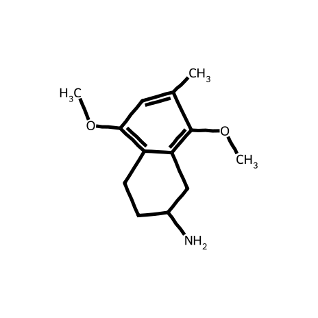 COc1cc(C)c(OC)c2c1CCC(N)C2